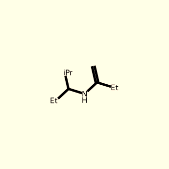 C=C(CC)NC(CC)C(C)C